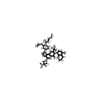 CN(C)C1(C)CN(c2nc3c(F)c(-c4ccc(F)c5cccnc45)c(C(F)(F)F)cc3c3c2nnn3[C@H]2CCN(C(=O)/C=C/CF)C(CC#N)C2)C1